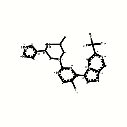 CC1CN(c2ncc(F)c(-c3cnc4cnc(C(F)(F)F)cn34)n2)CC(c2cn[nH]c2)N1